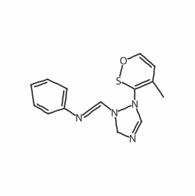 CC1=C(N2C=NCN2C=Nc2ccccc2)SOC=C1